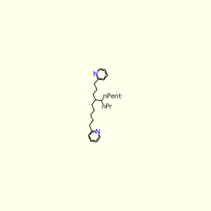 CCCC[CH]C(CCC)C([CH]CCCCc1ccccn1)CCCc1ccccn1